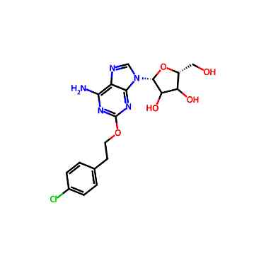 Nc1nc(OCCc2ccc(Cl)cc2)nc2c1ncn2[C@@H]1O[C@H](CO)C(O)C1O